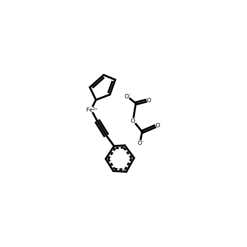 O=C([O-])OC(=O)[O-].[C](#Cc1ccccc1)[Fe+2][CH]1C=CC=C1